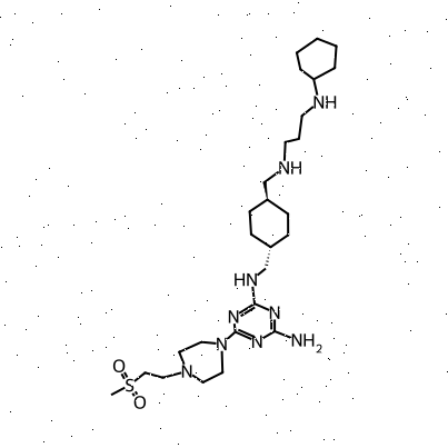 CS(=O)(=O)CCN1CCN(c2nc(N)nc(NC[C@H]3CC[C@H](CNCCCNC4CCCCC4)CC3)n2)CC1